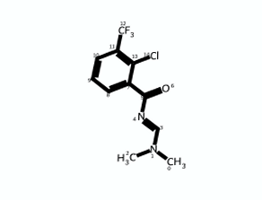 CN(C)C=NC(=O)c1cccc(C(F)(F)F)c1Cl